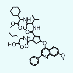 CCC[C@H](NC(=O)C1CC(Oc2cc(-c3ccccc3)nc3cc(OC)ccc23)C=C1C(=O)NC(C(=O)NC(C(=O)OC)C1CCCCC1)C(C)C)C(=O)O